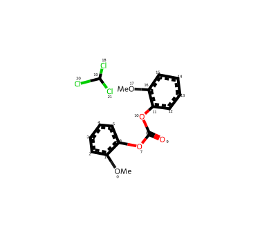 COc1ccccc1OC(=O)Oc1ccccc1OC.ClC(Cl)Cl